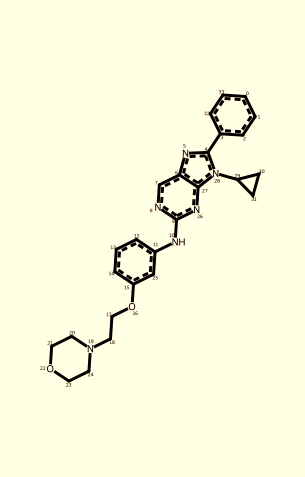 c1ccc(-c2nc3cnc(Nc4cccc(OCCN5CCOCC5)c4)nc3n2C2CC2)cc1